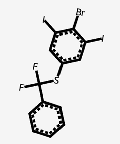 FC(F)(Sc1cc(I)c(Br)c(I)c1)c1ccccc1